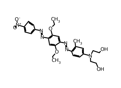 CCOc1cc(/N=N/c2ccc(N(CCO)CCO)cc2C)c(OCC)cc1/N=N/c1ccc([N+](=O)[O-])cc1